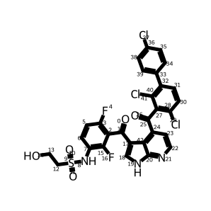 O=C(c1c(F)ccc(NS(=O)(=O)CCO)c1F)c1c[nH]c2nccc(C(=O)c3c(Cl)ccc(-c4ccc(Cl)cc4)c3Cl)c12